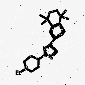 CCN1CCC(c2nc(-c3ccc4c(c3)C(C)(C)CCC4(C)C)cs2)CC1